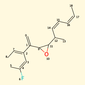 C=C(C(/C=C(\C)F)=C/C)C1OC1C(C)/C=C\C=C/C